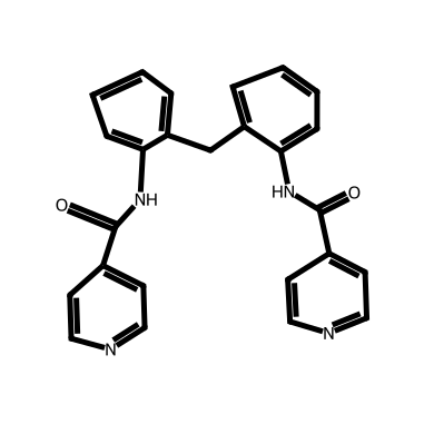 O=C(Nc1ccccc1Cc1ccccc1NC(=O)c1ccncc1)c1ccncc1